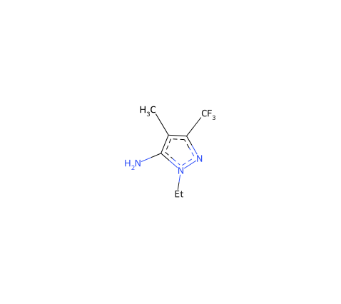 CCn1nc(C(F)(F)F)c(C)c1N